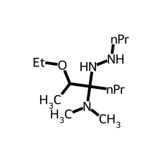 CCCNNC(CCC)(C(C)OCC)N(C)C